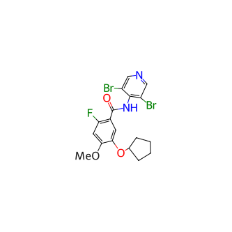 COc1cc(F)c(C(=O)Nc2c(Br)cncc2Br)cc1OC1CCCC1